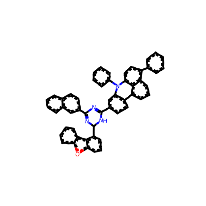 c1ccc(-c2ccc3c4c(cccc24)-c2ccc(C4=NC(c5ccc6ccccc6c5)=NC(c5cccc6oc7ccccc7c56)N4)cc2N3c2ccccc2)cc1